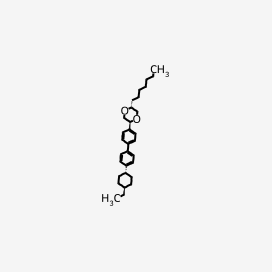 CCCCCCC[C@@H]1CO[C@@H](c2ccc(-c3ccc([C@H]4CC[C@H](CC)CC4)cc3)cc2)CO1